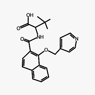 CC(C)(C)C(NC(=O)c1ccc2ccccc2c1OCc1ccncc1)C(=O)O